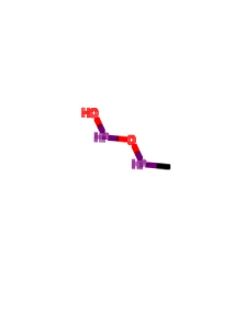 CPOPO